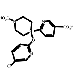 O=C(O)c1ccc([N+]2(Oc3ccc(Cl)cn3)CCN(C(=O)O)CC2)nc1